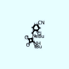 CCCCN(Cc1ccc(C#N)cc1Cl)c1c(NC(C)(C)C)c(=O)c1=O